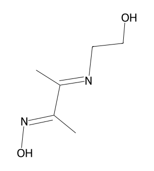 CC(=N\O)/C(C)=N/CCO